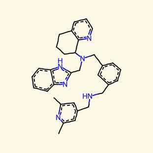 Cc1cc(CNCc2cccc(CN(Cc3nc4ccccc4[nH]3)C3CCCc4cccnc43)c2)cc(C)n1